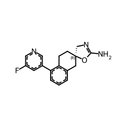 NC1=NC[C@]2(CCc3c(cccc3-c3cncc(F)c3)C2)O1